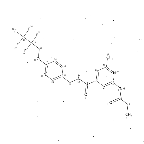 CCC(=O)Nc1cc(C(=O)NCc2ccc(OCC(F)(F)C(F)(F)F)nc2)cc(C)n1